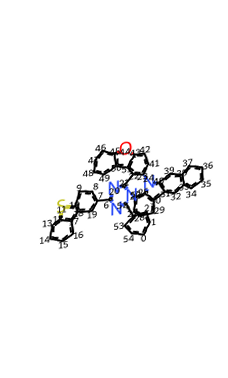 c1ccc(-c2nc(-c3ccc4sc5ccccc5c4c3)nc(-c3c(-n4c5ccccc5c5cc6ccccc6cc54)ccc4oc5ccccc5c34)n2)cc1